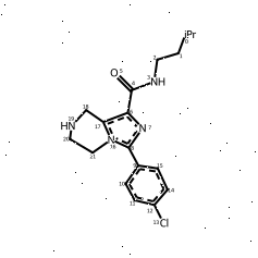 CC(C)CCNC(=O)c1nc(-c2ccc(Cl)cc2)n2c1CNCC2